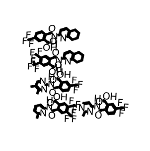 Cc1cccc(NC(=O)c2cc(C(F)(F)F)c(C(F)(F)F)cc2C(=O)O)n1.Cc1cnc(NC(=O)c2ccc(C(F)(F)F)cc2C(=O)O)nc1C.Cc1nccc(NC(=O)c2ccc(C(F)(F)F)cc2C(=O)O)n1.O=C(O)c1cc(C(F)(F)F)c(C(F)(F)F)cc1C(=O)Nc1ccc2c(n1)CCCC2.O=C(O)c1cc(C(F)(F)F)ccc1C(=O)Nc1ccc2c(n1)CCCC2